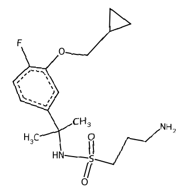 CC(C)(NS(=O)(=O)CCCN)c1ccc(F)c(OCC2CC2)c1